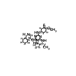 CCC(Nc1nc(Nc2ccc(OC)c(F)c2)nc(OC(CN)c2ccccc2)n1)C1CCCN1